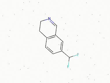 FC(F)c1ccc2c(c1)C=NCC2